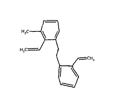 C=Cc1ccccc1CCc1cccc(C)c1C=C